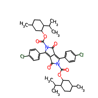 CC1CCC(C(C)C)C(OC(=O)N2C(=O)C3=C(c4ccc(Cl)cc4)N(C(=O)OC4CC(C)CCC4C(C)C)C(=O)C3=C2c2ccc(Cl)cc2)C1